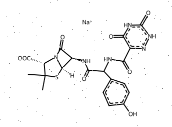 CC1(C)S[C@@H]2[C@H](NC(=O)C(NC(=O)c3n[nH]c(=O)[nH]c3=O)c3ccc(O)cc3)C(=O)N2[C@H]1C(=O)[O-].[Na+]